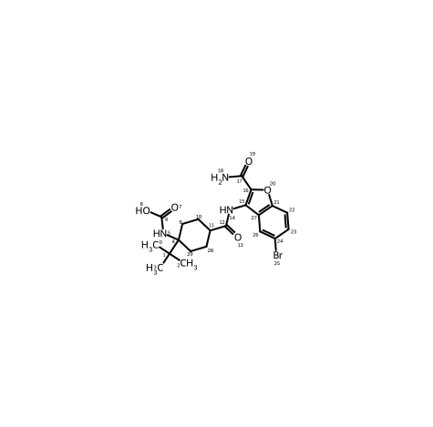 CC(C)(C)C1(NC(=O)O)CCC(C(=O)Nc2c(C(N)=O)oc3ccc(Br)cc23)CC1